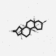 C[C@H]1CC[C@]2(C)[C@H](CC[C@@H]3[C@H]4CC(=O)C[C@]4(C)CC[C@H]32)C1